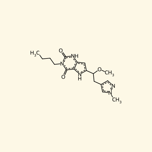 CCCCn1c(=O)[nH]c2cc(C(Cc3cnn(C)c3)OC)[nH]c2c1=O